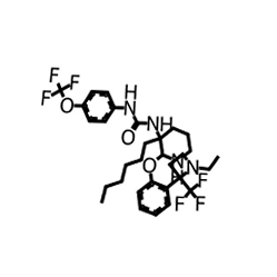 CCCCCCC1(NC(=O)Nc2ccc(OC(F)(F)F)cc2)CCCNC1Oc1ccccc1C1(C(F)(F)F)CCN1CC